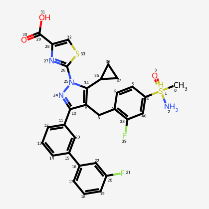 C[SH](N)(=O)c1ccc(Cc2c(-c3cccc(-c4cccc(F)c4)c3)nn(-c3nc(C(=O)O)cs3)c2C2CC2)c(F)c1